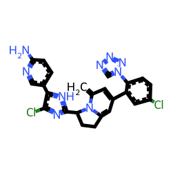 C=C1C=C(c2cc(Cl)ccc2-n2cnnn2)C=C2CCC(c3nc(Cl)c(-c4ccc(N)nc4)[nH]3)N12